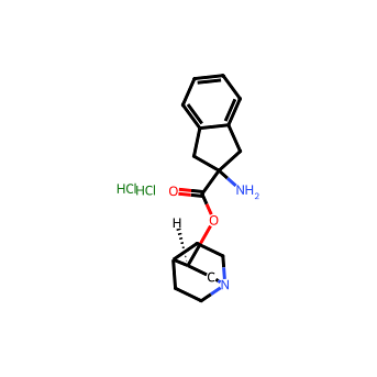 Cl.Cl.NC1(C(=O)O[C@H]2CN3CCC2CC3)Cc2ccccc2C1